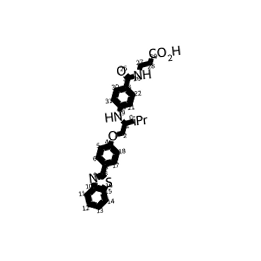 CC(C)C(COc1ccc(-c2nc3ccccc3s2)cc1)Nc1ccc(C(=O)NCCC(=O)O)cc1